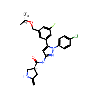 C=C1C[C@H](C(=O)Nc2cc(-c3cc(F)cc(CO[C@H](C)C(F)(F)F)c3)n(-c3ccc(Cl)cc3)n2)CN1